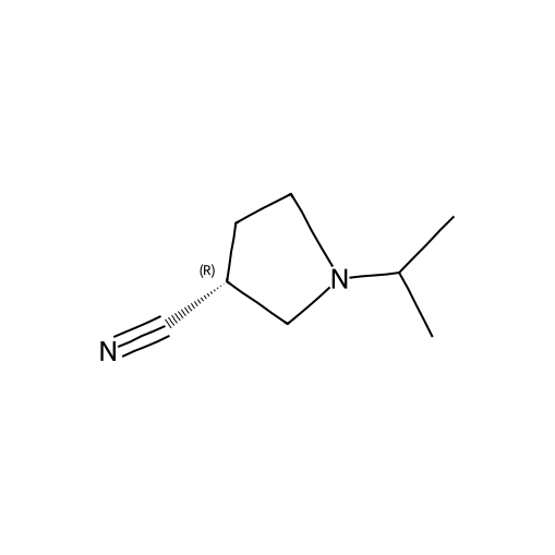 CC(C)N1CC[C@@H](C#N)C1